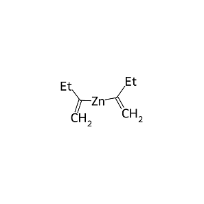 C=[C](CC)[Zn][C](=C)CC